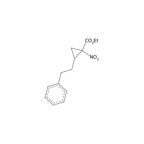 CCOC(=O)C1([N+](=O)[O-])CC1CCc1ccccc1